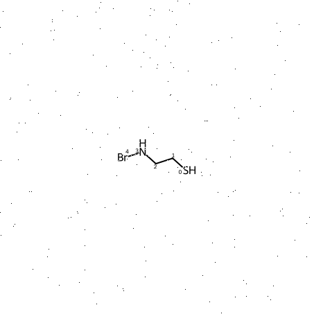 SCCNBr